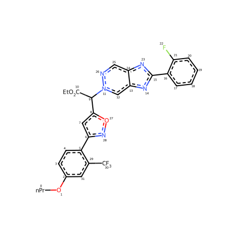 CCCOc1ccc(-c2cc(C(C(=O)OCC)n3cc4nc(-c5ccccc5F)nc-4cn3)on2)c(C(F)(F)F)c1